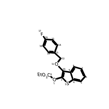 CCOC(=O)Oc1sc2ccccc2c1OCc1ccc(F)cc1